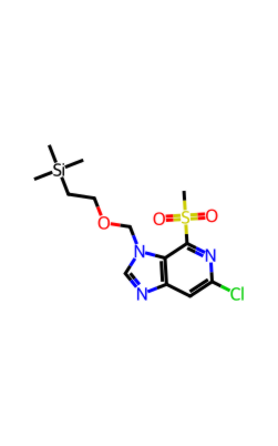 C[Si](C)(C)CCOCn1cnc2cc(Cl)nc(S(C)(=O)=O)c21